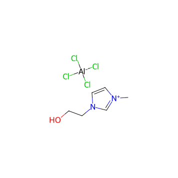 C[n+]1ccn(CCO)c1.[Cl][Al-]([Cl])([Cl])[Cl]